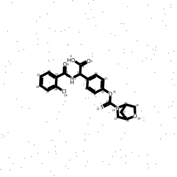 O=C(NC(C(=O)O)c1ccc(OC(=S)N2CC3CC2CO3)cc1)c1ccccc1Cl